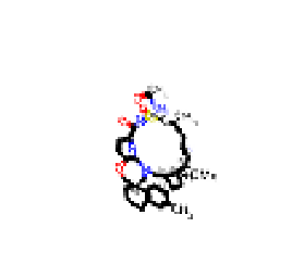 CO[C@H]1/C=C/C[C@H](C)C[S@@](=O)(NC(=O)C(F)(F)F)=NC(=O)c2ccc3c(n2)N(C[C@@H]2CC[C@H]21)C[C@@]1(CCCc2cc(C)ccc21)CO3